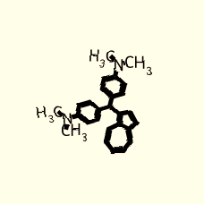 CN(C)c1ccc([C](c2ccc(N(C)C)cc2)c2ccc3cccccc2-3)cc1